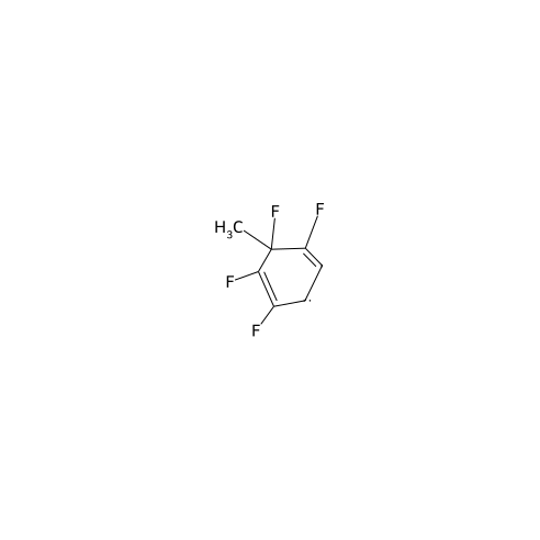 CC1(F)C(F)=C[CH]C(F)=C1F